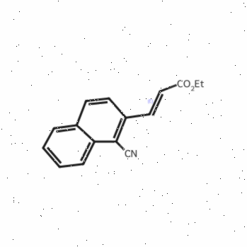 CCOC(=O)/C=C/c1ccc2ccccc2c1C#N